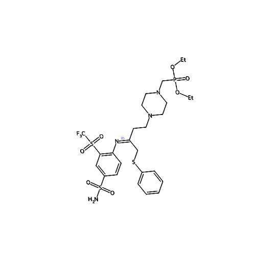 CCOP(=O)(CN1CCN(CC/C(CSc2ccccc2)=N/c2ccc(S(N)(=O)=O)cc2S(=O)(=O)C(F)(F)F)CC1)OCC